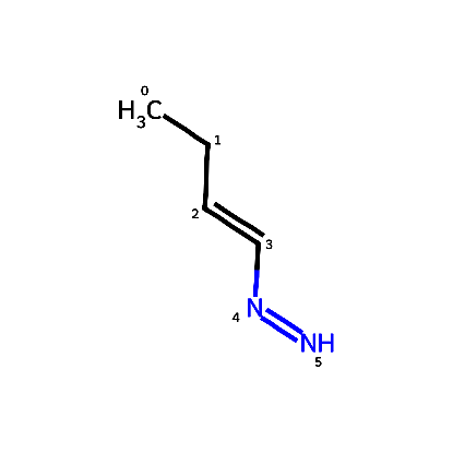 CCC=CN=N